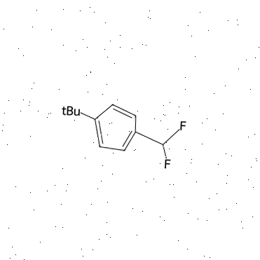 CC(C)(C)c1ccc(C(F)F)cc1